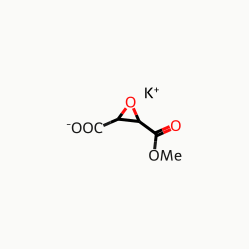 COC(=O)C1OC1C(=O)[O-].[K+]